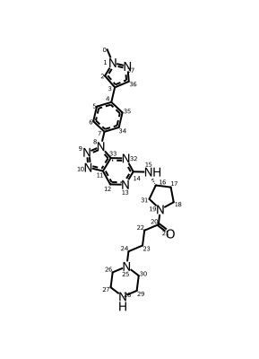 Cn1cc(-c2ccc(-n3nnc4cnc(N[C@@H]5CCN(C(=O)CCCN6CCNCC6)C5)nc43)cc2)cn1